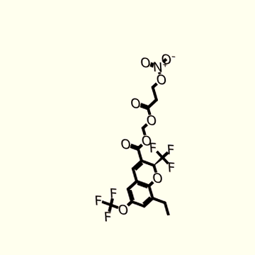 CCc1cc(OC(F)(F)F)cc2c1O[C@H](C(F)(F)F)C(C(=O)OCOC(=O)CCO[N+](=O)[O-])=C2